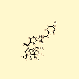 CC1CN(CC2(S(=O)(=O)C(C)(C)C(F)(F)F)CC2)C(=O)c2cnc(C(=O)NCc3ccc(Cl)cc3)n21